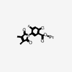 CC1=C(C)C(=O)N(c2cc(C(=O)OC(C)C)c(Cl)cc2F)C1=O